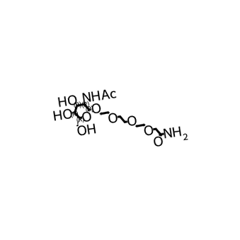 CC(=O)N[C@H]1[C@H](OCCOCCOCCOCC(N)=O)O[C@H](CO)[C@H](O)[C@@H]1O